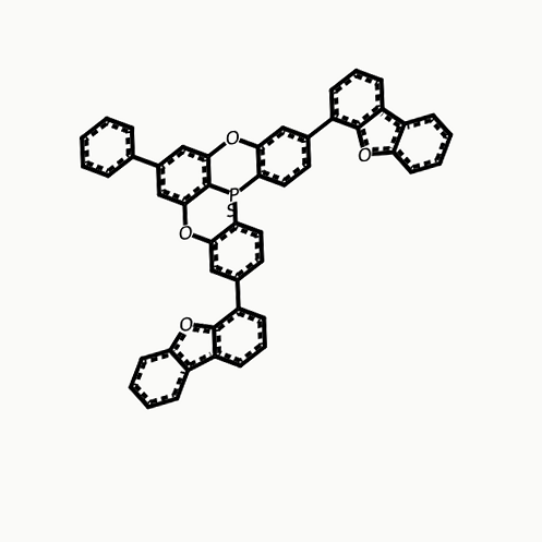 S=P12c3ccc(-c4cccc5c4oc4ccccc45)cc3Oc3cc(-c4ccccc4)cc(c31)Oc1cc(-c3cccc4c3oc3ccccc34)ccc12